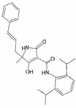 CC(C)c1cccc(C(C)C)c1NC(=O)C1=C(O)C(C)(C/C=C/c2ccccc2)NC1=O